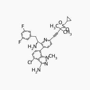 Cn1nc(N)c2c(Cl)ccc(-c3ccc(C#CC(C)(C)S(=O)(=O)C4CC4)nc3[C@@H](N)Cc3cc(F)cc(F)c3)c21